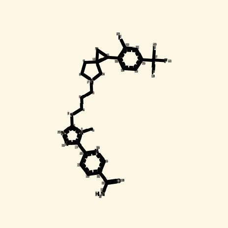 Cn1c(SCCCN2CCC3(CC3c3ccc(C(F)(F)F)cc3F)C2)nnc1-c1ccc(C(N)=O)cn1